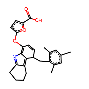 Cc1cc(C)c(CC2C=CC(Oc3ccc(C(=O)O)o3)=C3N=C4CCCCC4=C32)c(C)c1